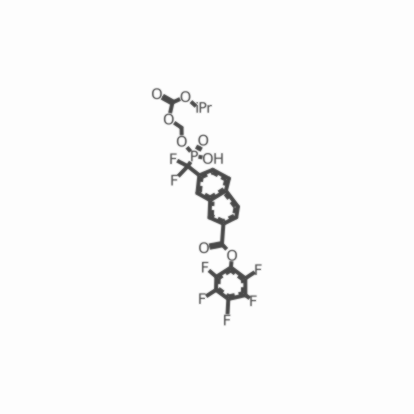 CC(C)OC(=O)OCOP(=O)(O)C(F)(F)c1ccc2ccc(C(=O)Oc3c(F)c(F)c(F)c(F)c3F)cc2c1